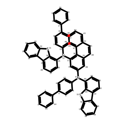 c1ccc(-c2ccc(N(c3cc(N(c4ccc(-c5ccccc5)cc4)c4cccc5c4sc4ccccc45)c4c(ccc5ccccc54)c3)c3cccc4c3sc3ccccc34)cc2)cc1